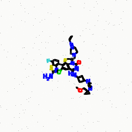 CCN1CCN(C[C@H]2CSc3c(-c4ccc(F)c5sc(N)nc45)c(Cl)cc4c(NC5CC(N=C=NC6(COC)CC6)C5)nc(=O)n2c34)CC1